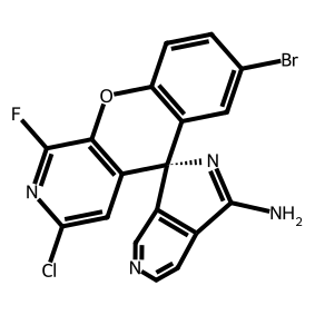 NC1=N[C@]2(c3cc(Br)ccc3Oc3c2cc(Cl)nc3F)c2cnccc21